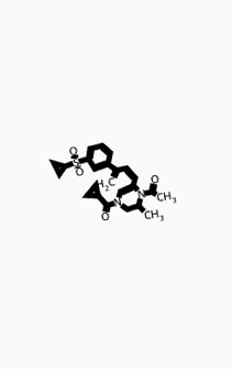 C=C(/C=C\C1=CN(C(=O)C2CC2)CC(C)N1C(C)=O)c1cccc(S(=O)(=O)C2CC2)c1